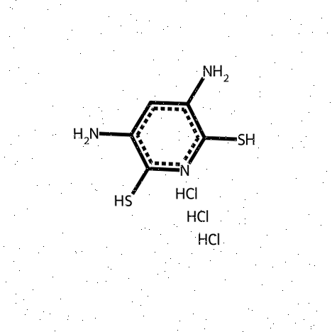 Cl.Cl.Cl.Nc1cc(N)c(S)nc1S